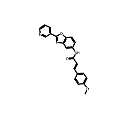 COc1ccc(C=CC(=O)Nc2ccc3oc(-c4cccnc4)nc3c2)cc1